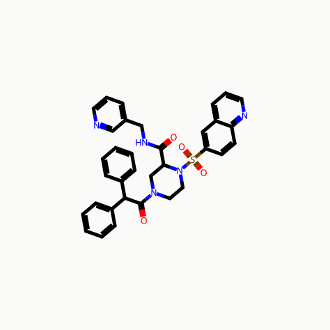 O=C(NCc1cccnc1)C1CN(C(=O)C(c2ccccc2)c2ccccc2)CCN1S(=O)(=O)c1ccc2ncccc2c1